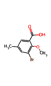 COc1c(Br)cc(C)cc1C(=O)O